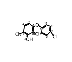 Oc1c(Cl)ccc(Oc2ccc(Cl)cc2)c1Cl